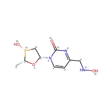 C[C@H]1O[C@@H](n2ccc(CNO)nc2=O)C[P@@]1O